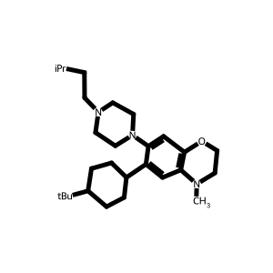 CC(C)CCN1CCN(c2cc3c(cc2C2CCC(C(C)(C)C)CC2)N(C)CCO3)CC1